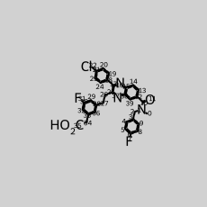 CN(Cc1ccc(F)cc1)C(=O)c1ccc2nc(-c3ccc(Cl)cc3)c(CCc3cc(F)cc(CC(=O)O)c3)nc2c1